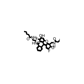 CCCCC(=O)NCCNC(=O)c1ccccc1-c1c2cc(F)c(=O)c(CNC(=O)CI)c-2oc2cc(O)c(F)cc12